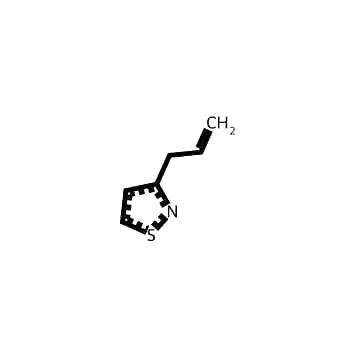 C=CCc1ccsn1